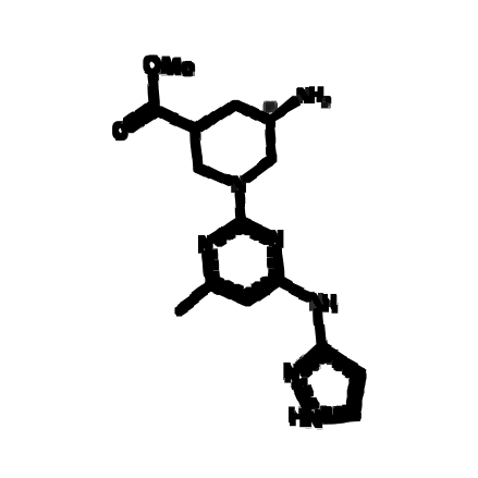 COC(=O)C1C[C@@H](N)CN(c2nc(C)cc(Nc3cc[nH]n3)n2)C1